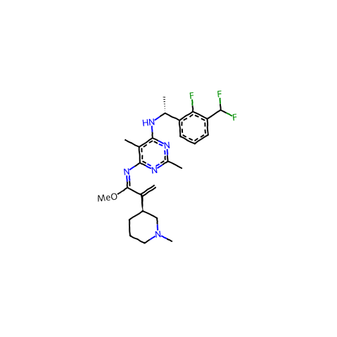 C=C(/C(=N\c1nc(C)nc(N[C@H](C)c2cccc(C(F)F)c2F)c1C)OC)[C@@H]1CCCN(C)C1